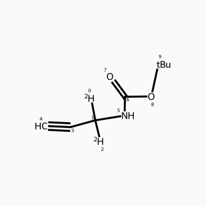 [2H]C([2H])(C#C)NC(=O)OC(C)(C)C